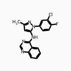 Cc1cc(Nc2ncnc3ccccc23)n(-c2ccc(F)c(Cl)c2)n1